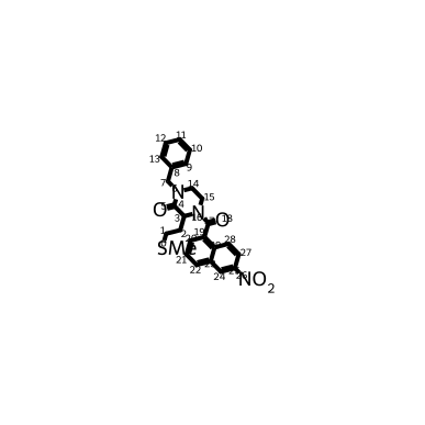 CSCCC1C(=O)N(Cc2ccccc2)CCN1C(=O)c1cccc2cc([N+](=O)[O-])ccc12